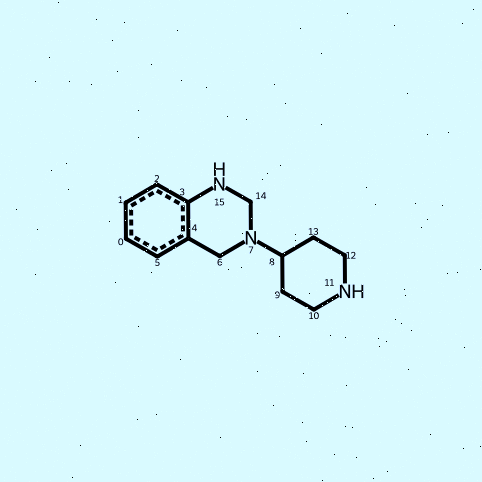 c1ccc2c(c1)CN(C1CCNCC1)CN2